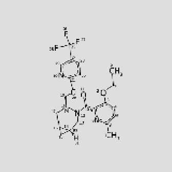 CCOc1ccc(C)nc1C(=O)N1C[C@@H]2CC2C[C@H]1COc1ccc(C(F)(F)F)cn1